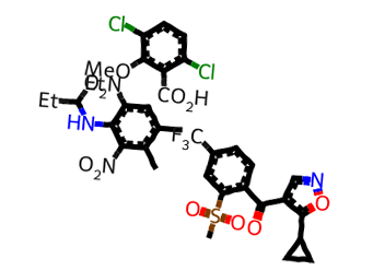 CCC(CC)Nc1c([N+](=O)[O-])cc(C)c(C)c1[N+](=O)[O-].COc1c(Cl)ccc(Cl)c1C(=O)O.CS(=O)(=O)c1cc(C(F)(F)F)ccc1C(=O)c1cnoc1C1CC1